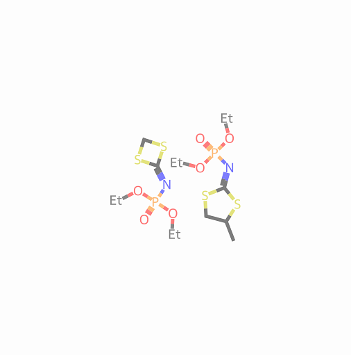 CCOP(=O)(/N=C1\SCC(C)S1)OCC.CCOP(=O)(N=C1SCS1)OCC